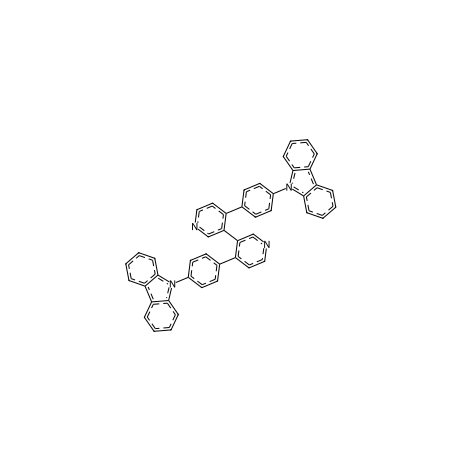 c1ccc2c(c1)c1ccccc1n2-c1ccc(-c2ccncc2-c2cnccc2-c2ccc(-n3c4ccccc4c4ccccc43)cc2)cc1